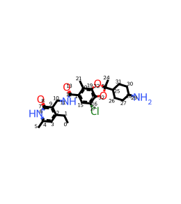 CCc1cc(C)[nH]c(=O)c1CNC(=O)c1cc(Cl)c2c(c1C)OC(C)(C1CCC(N)CC1)O2